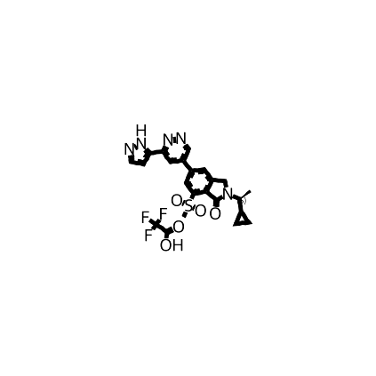 C[C@@H](C1CC1)N1Cc2cc(-c3cnnc(-c4ccn[nH]4)c3)cc(S(C)(=O)=O)c2C1=O.O=C(O)C(F)(F)F